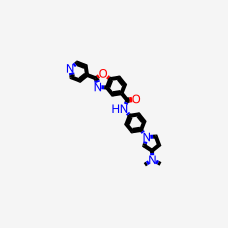 CN(C)C1CCN(c2ccc(NC(=O)c3ccc4oc(-c5ccncc5)nc4c3)cc2)C1